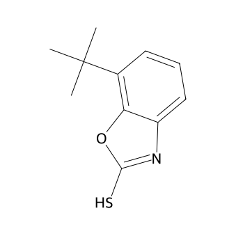 CC(C)(C)c1cccc2nc(S)oc12